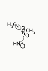 CC1OC2(CCN(C)CC2)CN1C(=O)CCc1c[nH]c2ccccc12